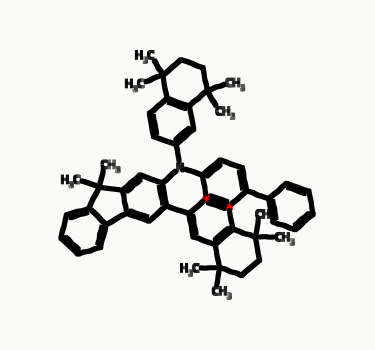 CC1(C)CCC(C)(C)c2cc(-c3cc4c(cc3N(c3ccc(-c5ccccc5)cc3)c3ccc5c(c3)C(C)(C)CCC5(C)C)C(C)(C)c3ccccc3-4)ccc21